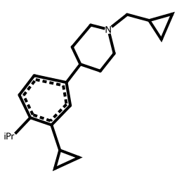 CC(C)c1ccc(C2CCN(CC3CC3)CC2)cc1C1CC1